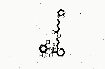 Cc1cccc(C)c1NC(=O)C1CCCCN1CCCOC(=O)CCCC[C@@H]1CCSS1